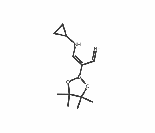 CC1(C)OB(/C(C=N)=C/NC2CC2)OC1(C)C